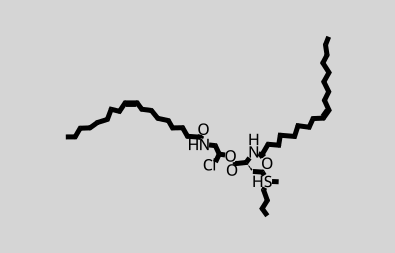 CCCCCCCC/C=C\CCCCCCCC(=O)NCC(Cl)OC(=O)[C@@H](CC[SH](C)CCCC)NC(=O)CCCCCCC/C=C\CCCCCCCC